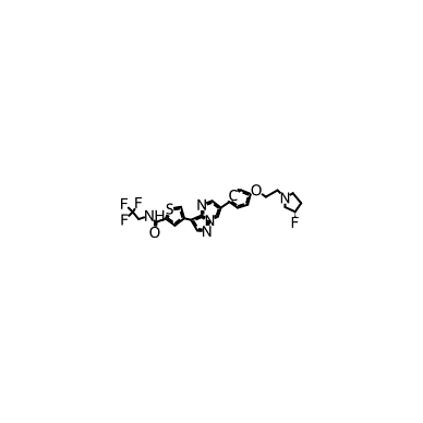 O=C(NCC(F)(F)F)c1cc(-c2cnn3cc(-c4ccc(OCCN5CC[C@H](F)C5)cc4)cnc23)cs1